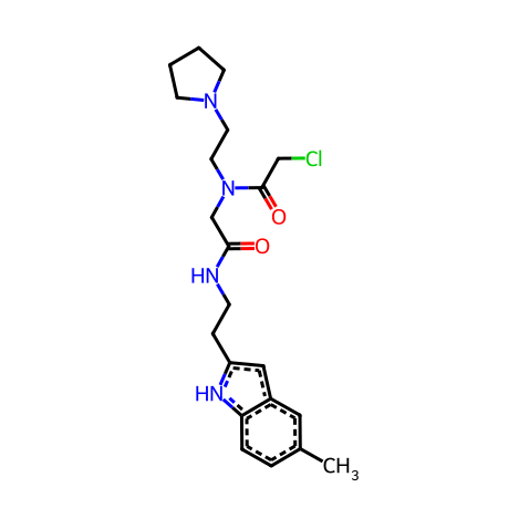 Cc1ccc2[nH]c(CCNC(=O)CN(CCN3CCCC3)C(=O)CCl)cc2c1